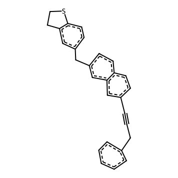 C(#Cc1ccc2ccc(Cc3ccc4c(c3)CCS4)cc2c1)Cc1ccccc1